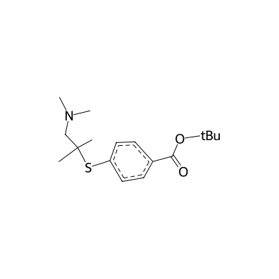 CN(C)CC(C)(C)Sc1ccc(C(=O)OC(C)(C)C)cc1